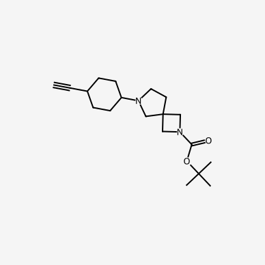 C#CC1CCC(N2CCC3(CN(C(=O)OC(C)(C)C)C3)C2)CC1